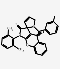 Cc1cccc(C)c1N1C(=O)C2(C=CCN2C(=O)c2cccc(I)c2)c2c1oc1ccccc1c2=O